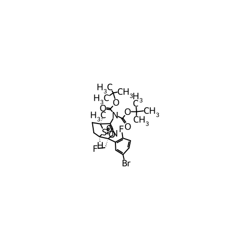 CC(C)(C)OC(=O)N(C(=O)OC(C)(C)C)C1=N[C@@](CF)(c2cc(Br)ccc2F)[C@H]2CC[C@]1(C)S2(=O)=O